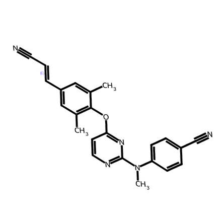 Cc1cc(/C=C/C#N)cc(C)c1Oc1ccnc(N(C)c2ccc(C#N)cc2)n1